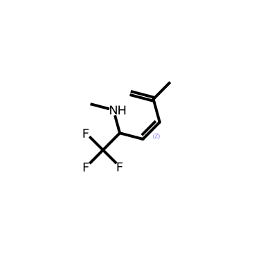 C=C(C)/C=C\C(NC)C(F)(F)F